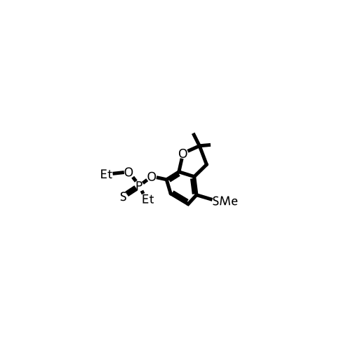 CCOP(=S)(CC)Oc1ccc(SC)c2c1OC(C)(C)C2